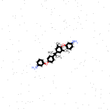 Cc1cc(C(C)(C)c2ccc(Oc3cccc(N)c3)cc2)cc(C)c1Oc1cccc(N)c1